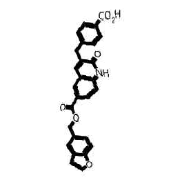 O=C(O)c1ccc(Cc2cc3cc(C(=O)OCc4ccc5occc5c4)ccc3[nH]c2=O)cc1